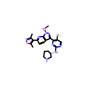 Cc1noc(C)c1-c1ccc2c(-c3nc(N[C@H]4CCCNC4)ncc3C(F)(F)F)nn(PI)c2n1